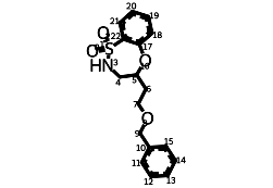 O=S1(=O)NCC(CCOCc2ccccc2)Oc2ccccc21